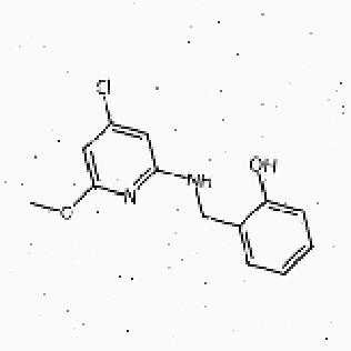 COc1cc(Cl)cc(NCc2ccccc2O)n1